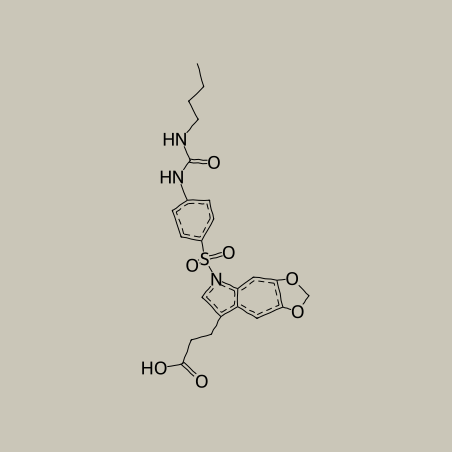 CCCCNC(=O)Nc1ccc(S(=O)(=O)n2cc(CCC(=O)O)c3cc4c(cc32)OCO4)cc1